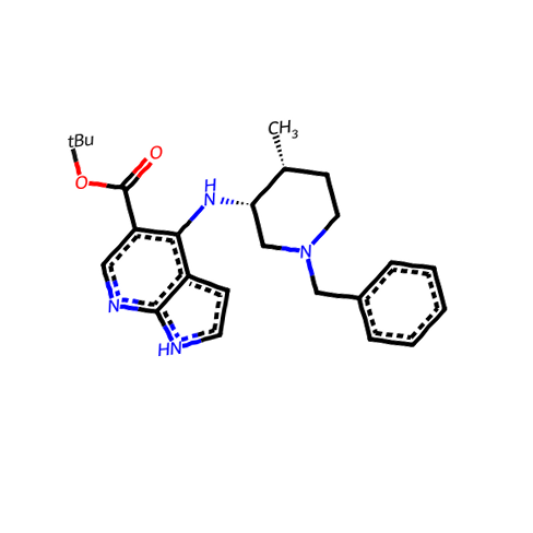 C[C@@H]1CCN(Cc2ccccc2)C[C@@H]1Nc1c(C(=O)OC(C)(C)C)cnc2[nH]ccc12